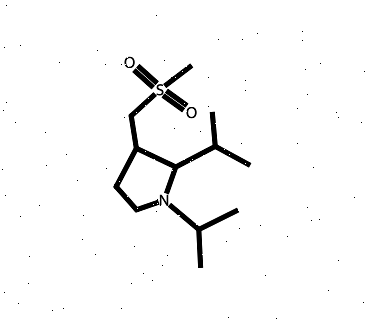 CC(C)C1C(CS(C)(=O)=O)CCN1C(C)C